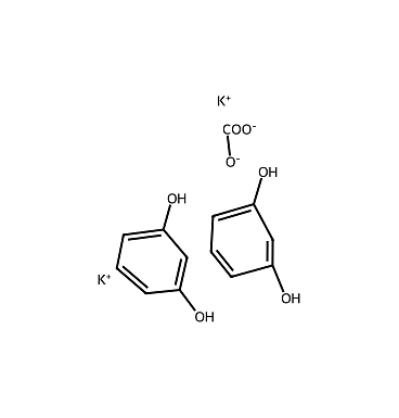 O=C([O-])[O-].Oc1cccc(O)c1.Oc1cccc(O)c1.[K+].[K+]